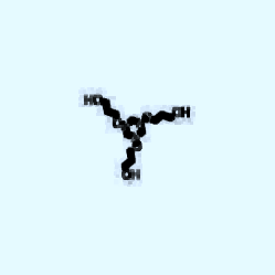 OCCCON1CN(OCCCO)CN(OCCCO)C1